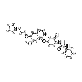 COc1cc2c(Oc3ccc(NC(=O)Nc4ccccc4)c(Cl)c3)ncnc2cc1OCCCN1CCCC1